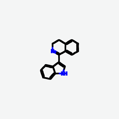 c1ccc2c(c1)CCN=C2c1c[nH]c2ccccc12